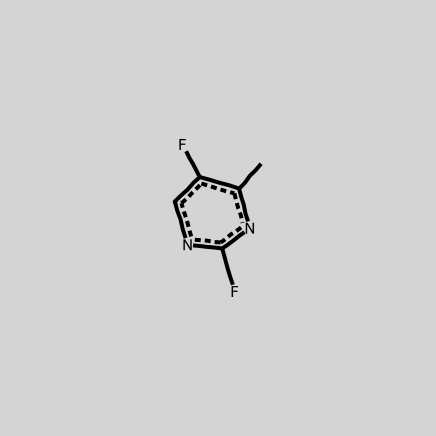 Cc1nc(F)ncc1F